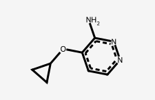 Nc1nnccc1OC1CC1